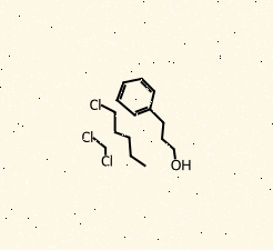 CCCCCCl.ClCCl.OCCCc1ccccc1